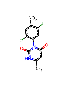 O=c1cc(C(F)(F)F)[nH]c(=O)n1-c1cc(F)c([N+](=O)[O-])cc1F